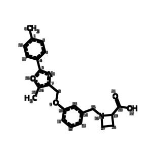 Cc1ccc(-c2nc(COc3cccc(CN4CCC4C(=O)O)c3)c(C)o2)cc1